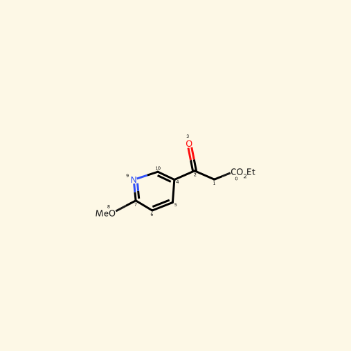 CCOC(=O)CC(=O)c1ccc(OC)nc1